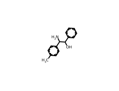 Cc1ccc(C(N)C(O)c2ccccc2)cc1